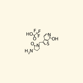 N[C@H]1CCN(Cc2csc3c(O)nccc23)C1=O.O=C(O)C(F)(F)F